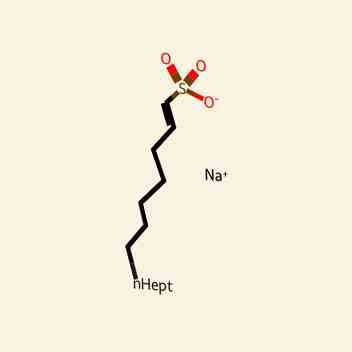 CCCCCCCCCCCCC=CS(=O)(=O)[O-].[Na+]